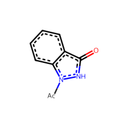 CC(=O)n1[nH]c(=O)c2ccccc21